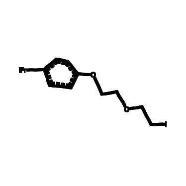 CC(C)c1ccc(OCCOCCI)cc1